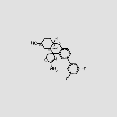 NC1=NC2(CO1)c1cc(-c3cc(F)cc(F)c3)ccc1O[C@H]1CC[C@H](O)C[C@@H]12